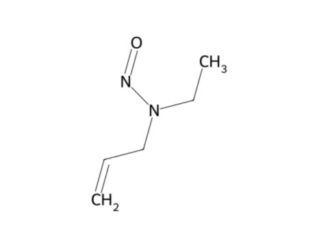 C=CCN(CC)N=O